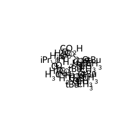 C=C1C(=CC=C2CCC[C@]3(C)C([C@H](C)OCC(=O)O)=CCC23)C[C@@H](O[Si](C)(C)C(C)(C)C)C[C@@H]1O[Si](C)(C)C(C)(C)C.C=C1C(=CC=C2CCC[C@]3(C)C([C@H](C)OCC(=O)OC(CCC(C)C)CCC(C)C)=CC[C@@H]23)C[C@@H](O[Si](C)(C)C(C)(C)C)C[C@@H]1O[Si](C)(C)C(C)(C)C